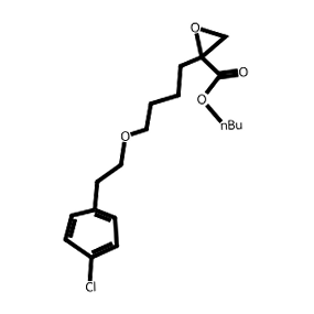 CCCCOC(=O)C1(CCCCOCCc2ccc(Cl)cc2)CO1